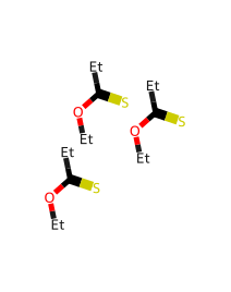 CCOC(=S)CC.CCOC(=S)CC.CCOC(=S)CC